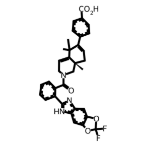 CC1(C)C(c2ccc(C(=O)O)cc2)=CC[C@]2(C)CN(C(=O)c3ccccc3-c3nc4cc5c(cc4[nH]3)OC(F)(F)O5)CC=C12